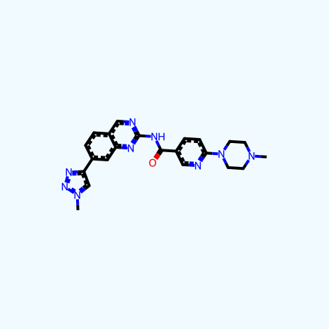 CN1CCN(c2ccc(C(=O)Nc3ncc4ccc(-c5cn(C)nn5)cc4n3)cn2)CC1